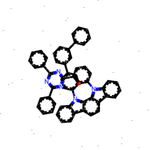 c1ccc(-c2cccc(-c3ccc(-n4c5ccccc5c5ccc6c7ccccc7n(-c7cccc(-c8nc(-c9ccccc9)nc(-c9ccccc9)n8)c7)c6c54)cc3)c2)cc1